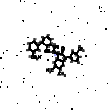 Cc1cc2c(cc1C)N(c1cccc(C(F)(F)F)c1)C(=O)/C2=N\Nc1cccc(-c2cccc(C(=O)O)c2)c1O